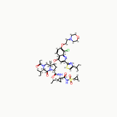 CC[C@@H]1C[C@]1(NC(=O)[C@@H]1C[C@@H](Oc2cc(-c3nc(C(C)C)cs3)nc3c(Cl)c(OCCN4CCOCC4)ccc23)[C@H]2CN(C(C)=O)[C@H](C(C)C)C(=O)N21)C(=O)NS(=O)(=O)C1CC1